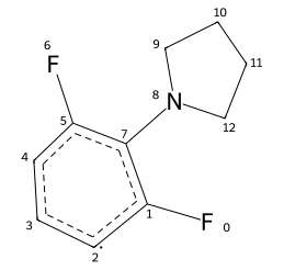 Fc1[c]ccc(F)c1N1CCCC1